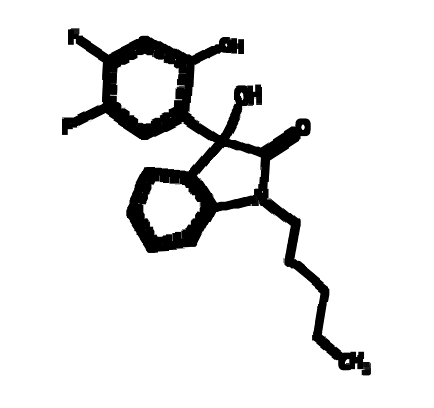 CCCCCN1C(=O)C(O)(c2cc(F)c(F)cc2O)c2ccccc21